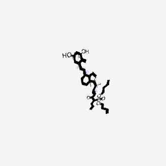 C=CCC(C(=O)/C=C/[C@@H](C)[C@H]1CCC2/C(=C/C=C3/C[C@@H](O)C[C@H](O)C3=C)CCC[C@@]21C)P(=O)(OCCCC)OCCCC